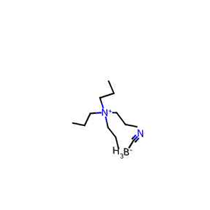 CCC[N+](CCC)(CCC)CCC.[BH3-]C#N